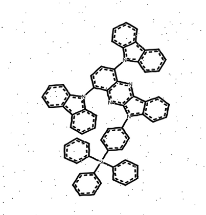 c1ccc([Si](c2ccccc2)(c2ccccc2)c2ccc(-n3c4ccccc4c4nc5c(-n6c7ccccc7c7ccccc76)ccc(-n6c7ccccc7c7ccccc76)c5nc43)cc2)cc1